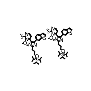 COCn1c(CCCO[Si](C(C)C)(C(C)C)C(C)C)nc(-c2ccc3ccsc3c2)c1-c1ccnc(SC)n1.COCn1c(CCCO[Si](C(C)C)(C(C)C)C(C)C)nc(-c2ccc3ccsc3c2)c1-c1ccnc(SC)n1